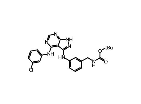 CC(C)(C)OC(=O)NCc1cccc(Nc2n[nH]c3ncnc(Nc4cccc(Cl)c4)c23)c1